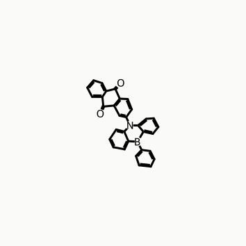 O=C1c2ccccc2C(=O)c2cc(N3c4ccccc4B(c4ccccc4)c4ccccc43)ccc21